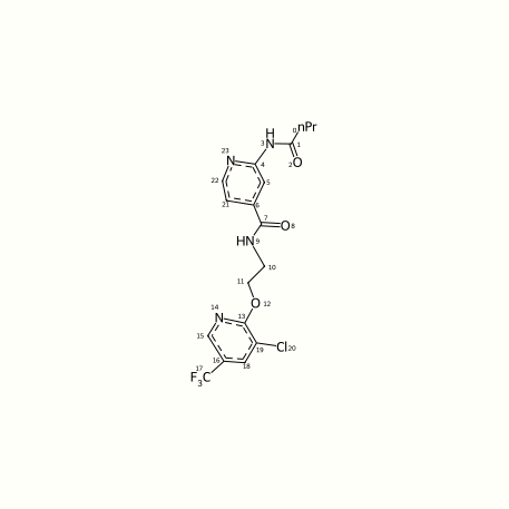 CCCC(=O)Nc1cc(C(=O)NCCOc2ncc(C(F)(F)F)cc2Cl)ccn1